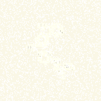 CC[C@@H](N)CNc1ccnc(-c2cc(-c3cnccc3C)ccc2O)n1